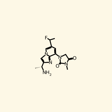 CC(F)c1cc(N2CC(=O)N(C)C2=O)c2nc([C@@H](C)N)cn2c1